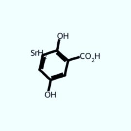 O=C(O)c1cc(O)ccc1O.[SrH2]